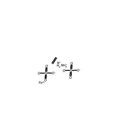 C=C.O=S(=O)([O-])[O-].O=S(=O)([O-])[O-].[Fe+2].[NH4+].[NH4+]